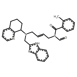 Cc1ccccc1C(=O)N(C=O)C/C=C/CN(Cc1nc2ccccc2[nH]1)C1CCCc2cccnc21